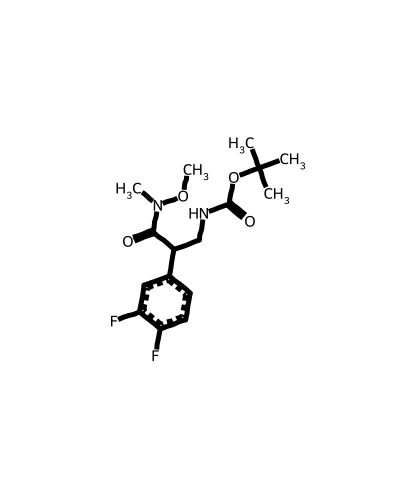 CON(C)C(=O)C(CNC(=O)OC(C)(C)C)c1ccc(F)c(F)c1